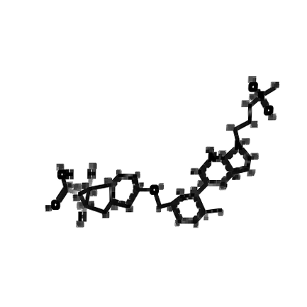 Cc1ccc(COc2ccc3c(c2)C[C@H]2[C@H](C(=O)O)[C@@H]32)cc1-c1cnc2c(ccn2CCCS(C)(=O)=O)c1